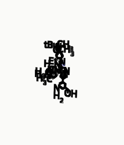 CCc1cc(O[Si](C)(C)C(C)(C)C)ccc1/N=C(\N)c1cnn2cc(-c3cc(N)cc(CO)c3)cc2c1N[C@@H]1CC[C@](C)(N)C1(C)C